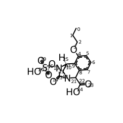 CCCOc1cccc2c1[C@H]1CN(C(=O)N1OS(=O)(=O)O)C2C(=O)O